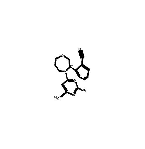 Cc1cc(N2CCCOC[C@H]2c2ccccc2C#N)nc(N)n1